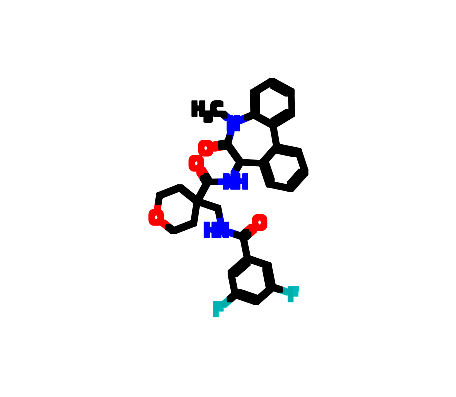 CN1C(=O)C(NC(=O)C2(CNC(=O)c3cc(F)cc(F)c3)CCOCC2)c2ccccc2-c2ccccc21